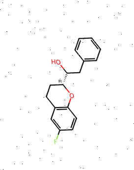 OC(Cc1ccccc1)[C@H]1CCc2cc(F)ccc2O1